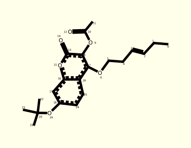 CC/C=C/CCOc1c(OC(C)=O)c(=O)oc2cc(OC(C)(C)C)ccc12